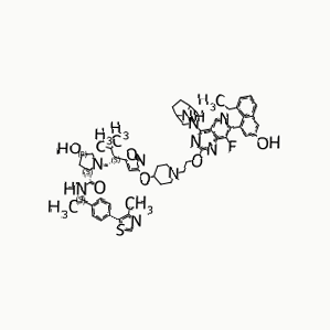 CCc1cccc2cc(O)cc(-c3ncc4c(N5CC6CCC(C5)N6)nc(OCCN5CCC(Oc6cc([C@H](CN7C[C@H](O)C[C@H]7C(=O)N[C@@H](C)c7ccc(-c8scnc8C)cc7)C(C)C)on6)CC5)nc4c3F)c12